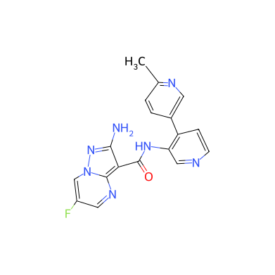 Cc1ccc(-c2ccncc2NC(=O)c2c(N)nn3cc(F)cnc23)cn1